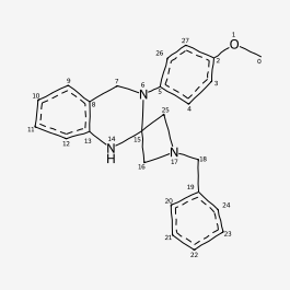 COc1ccc(N2Cc3ccccc3NC23CN(Cc2ccccc2)C3)cc1